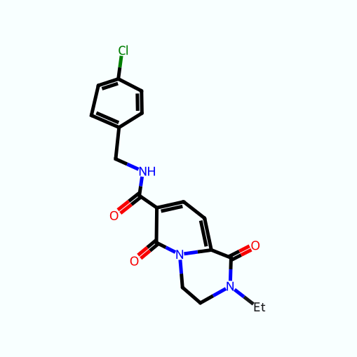 CCN1CCn2c(ccc(C(=O)NCc3ccc(Cl)cc3)c2=O)C1=O